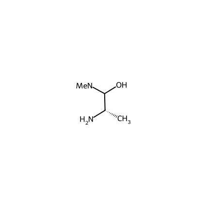 CNC(O)[C@H](C)N